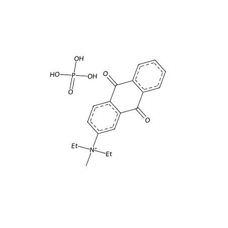 CC[N+](C)(CC)c1ccc2c(c1)C(=O)c1ccccc1C2=O.O=P(O)(O)O